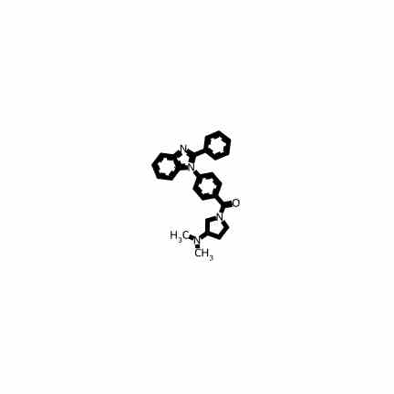 CN(C)C1CCN(C(=O)c2ccc(-n3c(-c4ccccc4)nc4ccccc43)cc2)C1